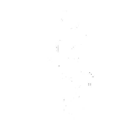 COc1cccc(C2(c3ccccc3)C=Cc3c(-c4cscn4)n[nH]c3C2)c1